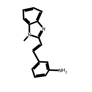 Cn1c(C=Cc2cccc(N)c2)nc2ccccc21